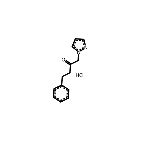 Cl.O=C(CCc1ccccc1)Cn1cccn1